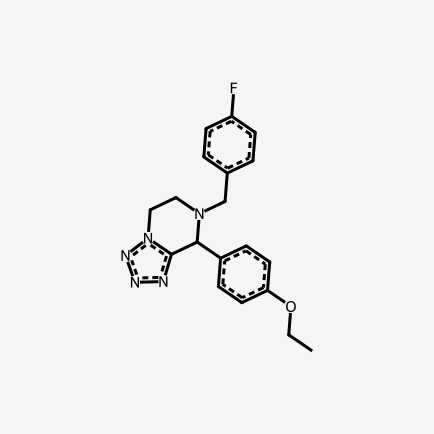 CCOc1ccc(C2c3nnnn3CCN2Cc2ccc(F)cc2)cc1